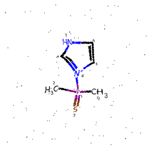 CP(C)(=S)[n+]1cc[nH]c1